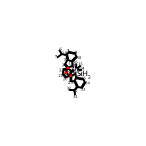 CC1=Cc2c(C(C)C)cccc2[CH]1[Zr]([CH3])([CH3])([CH3])(=[SiH2])([c]1ccccc1)[CH]1C(C)=Cc2c(C(C)C)cccc21